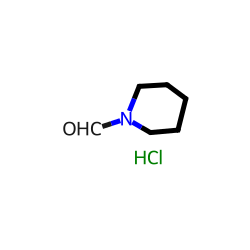 Cl.O=CN1CCCCC1